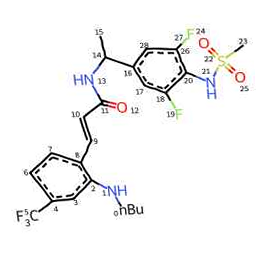 CCCCNc1cc(C(F)(F)F)ccc1C=CC(=O)NC(C)c1cc(F)c(NS(C)(=O)=O)c(F)c1